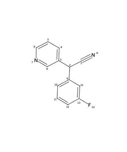 N#CC(c1cccnc1)c1cccc(F)c1